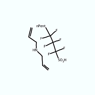 C=CCNCC=C.CCCCCC(F)(F)C(F)(F)C(F)(F)S(=O)(=O)O